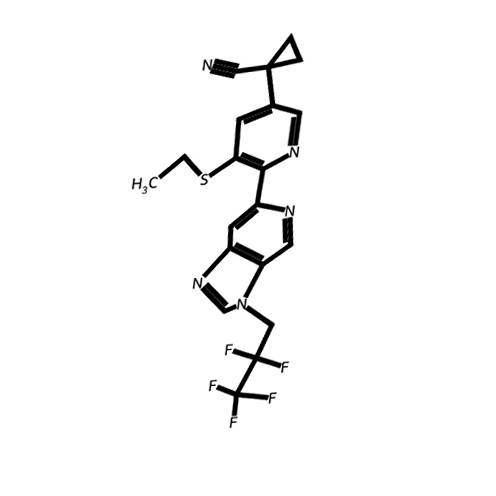 CCSc1cc(C2(C#N)CC2)cnc1-c1cc2ncn(CC(F)(F)C(F)(F)F)c2cn1